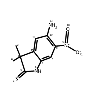 CC1(C)C(=S)Nc2cc([N+](=O)[O-])c(N)cc21